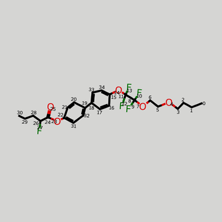 CCCCOCCOC(F)(F)C(F)(F)Oc1ccc(-c2ccc(OC(=O)C(F)CCC)cc2)cc1